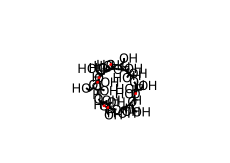 OCC[C@H]1O[C@H]2OC(CO)[C@@H](O[C@H]3OC(CO)[C@@H](O/C(O)=C(/O)[C@@H](CCO)O[C@H]4OC(CO)[C@@H](O[C@@H](O)/C(O)=C(\O)[C@@H](CCO)O[C@@H](O)/C(O)=C\1O)C(O)C4O)C(O)C3O)C(O)C2O